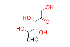 O=C[C@@H](O)[C@@H](O)[C@H](O)C(=O)CO